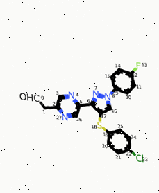 O=CCc1cnc(-c2nn(-c3ccc(F)cc3)cc2Sc2ccc(Cl)cc2)cn1